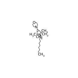 CCCCCCCCON1C(C)(C)C2C(N3CCOCC3)C2C1(C)C